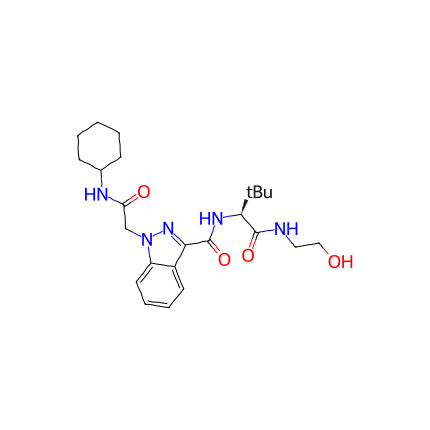 CC(C)(C)[C@H](NC(=O)c1nn(CC(=O)NC2CCCCC2)c2ccccc12)C(=O)NCCO